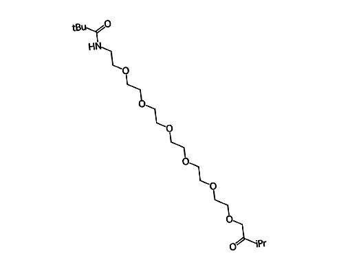 CC(C)C(=O)COCCOCCOCCOCCOCCOCCNC(=O)C(C)(C)C